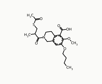 CCCCOc1cc2c(c(C(=O)O)c1OC)CCN(C(=O)C(C)CSC(C)=O)C2